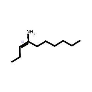 CC/C=C(/N)CCCCCC